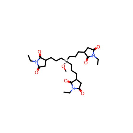 CCN1C(=O)CC(CCC[Si](CCCC2CC(=O)N(CC)C2=O)(CCCC2CC(=O)N(CC)C2=O)OC)C1=O